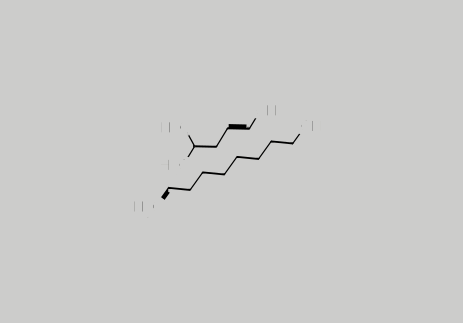 C=CCCCCCCCC.CC=CCC(C)C